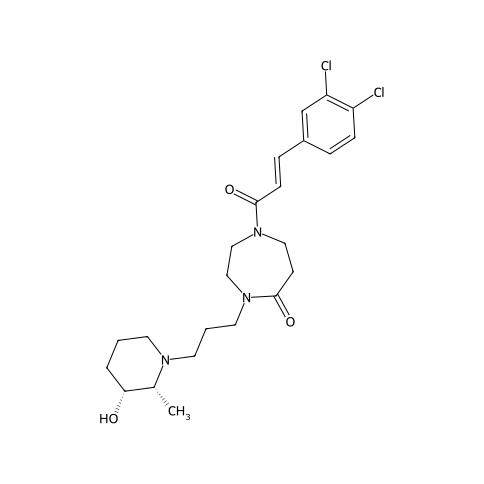 C[C@@H]1[C@H](O)CCCN1CCCN1CCN(C(=O)/C=C/c2ccc(Cl)c(Cl)c2)CCC1=O